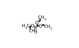 CCOC(BOC(C)C)OCC